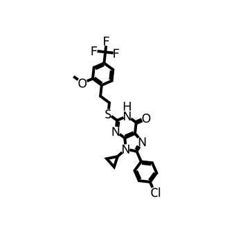 COc1cc(C(F)(F)F)ccc1CCSc1nc2c(nc(-c3ccc(Cl)cc3)n2C2CC2)c(=O)[nH]1